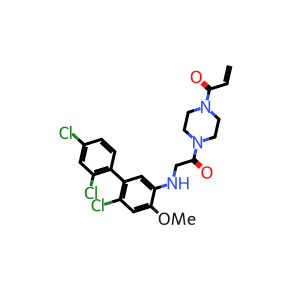 C=CC(=O)N1CCN(C(=O)CNc2cc(-c3ccc(Cl)cc3Cl)c(Cl)cc2OC)CC1